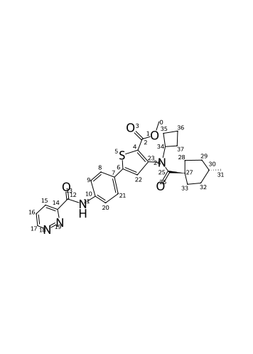 COC(=O)c1sc(-c2ccc(NC(=O)c3cccnn3)cc2)cc1N(C(=O)[C@H]1CC[C@H](C)CC1)C1CCC1